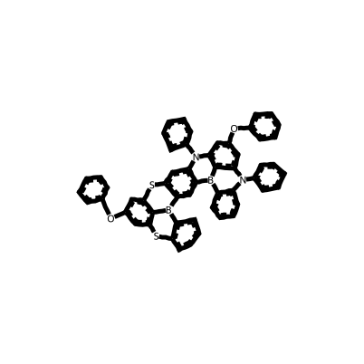 c1ccc(Oc2cc3c4c(c2)Sc2cc5c(cc2B4c2ccccc2S3)B2c3ccccc3N(c3ccccc3)c3cc(Oc4ccccc4)cc(c32)N5c2ccccc2)cc1